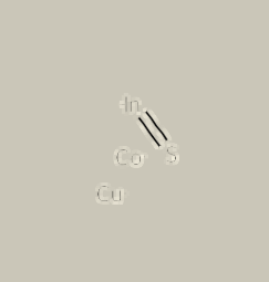 [Co].[Cu].[S]=[In]